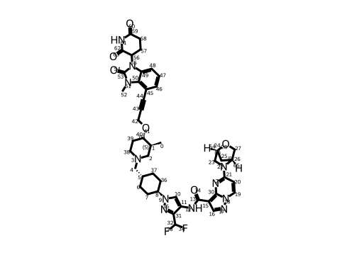 C[C@H]1CN(C[C@H]2CC[C@H](n3cc(NC(=O)c4cnn5ccc(N6C[C@H]7C[C@@H]6CO7)nc45)c(C(F)F)n3)CC2)CC[C@@H]1OCC#Cc1cccc2c1n(C)c(=O)n2C1CCC(=O)NC1=O